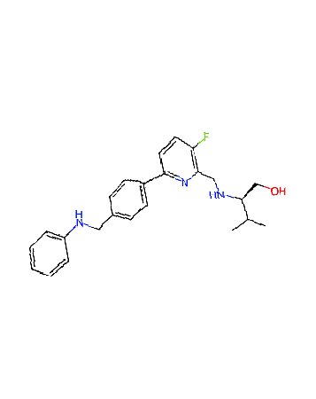 CC(C)[C@H](CO)NCc1nc(-c2ccc(CNc3ccccc3)cc2)ccc1F